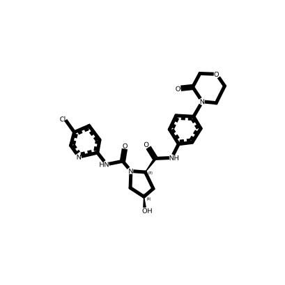 O=C(Nc1ccc(N2CCOCC2=O)cc1)[C@H]1C[C@@H](O)CN1C(=O)Nc1ccc(Cl)cn1